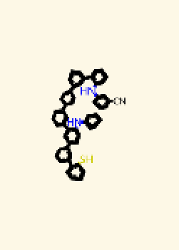 N#Cc1cccc(Nc2ccccc2-c2cccc(C3=CCC(C4=CCCC(c5cc(-c6cccc(-c7ccccc7S)c6)ccc5Nc5ccccc5)=C4)C=C3)c2)c1